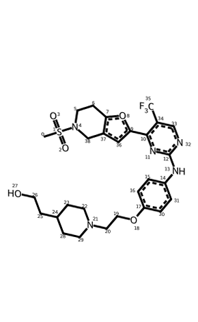 CS(=O)(=O)N1CCc2oc(-c3nc(Nc4ccc(OCCN5CCC(CCO)CC5)cc4)ncc3C(F)(F)F)cc2C1